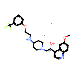 COc1ccc2nccc([C@@H](O)CN3CCC(NCCOc4cccc(C(F)(F)F)c4)CC3)c2c1